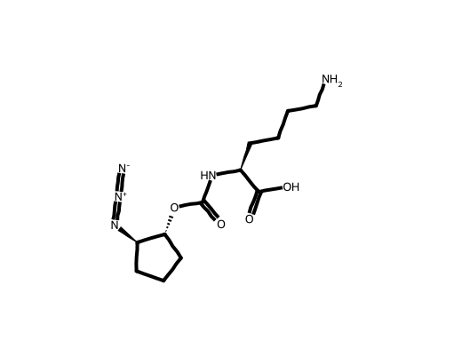 [N-]=[N+]=N[C@@H]1CCC[C@H]1OC(=O)N[C@@H](CCCCN)C(=O)O